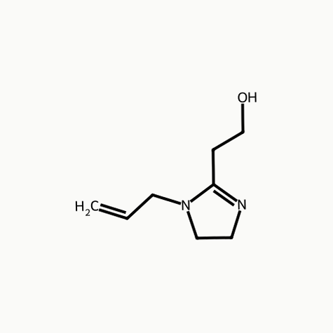 C=CCN1CCN=C1CCO